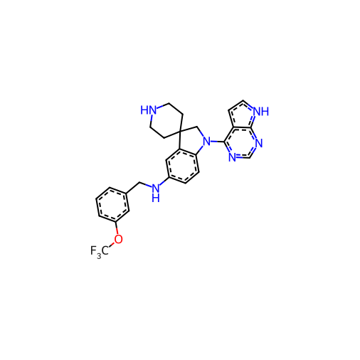 FC(F)(F)Oc1cccc(CNc2ccc3c(c2)C2(CCNCC2)CN3c2ncnc3[nH]ccc23)c1